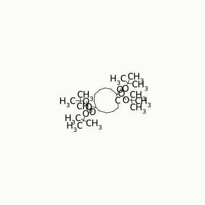 CC(C)(C)OOC1(OOC(C)(C)C)CCCCCC(OOC(C)(C)C)(OOC(C)(C)C)CCCCC1